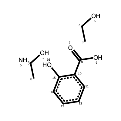 CCO.CCO.N.O=C(O)c1ccccc1O